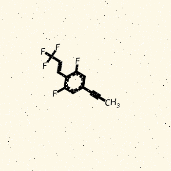 CC#Cc1cc(F)c(/C=C/C(F)(F)F)c(F)c1